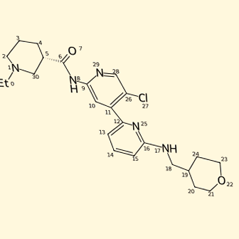 CCN1CCC[C@H](C(=O)Nc2cc(-c3cccc(NCC4CCOCC4)n3)c(Cl)cn2)C1